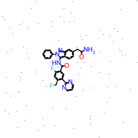 NC(=O)Cc1ccc2c(NC(=O)c3cc(-c4ncccn4)c(CF)cc3F)n(-c3ccccc3)nc2c1